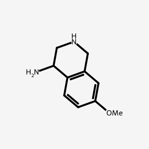 COc1ccc2c(c1)CNCC2N